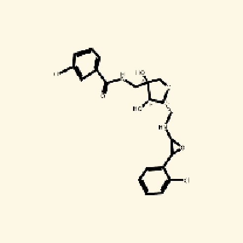 O=C(NC[C@]1(O)CO[C@H](CNC2OC2c2ccccc2Cl)[C@H]1O)c1cccc(Cl)c1